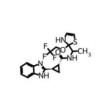 CC(NC(=O)[C@@H]1C[C@H]1c1nc2ccccc2[nH]1)C1(OCC(F)(F)F)NC=CS1